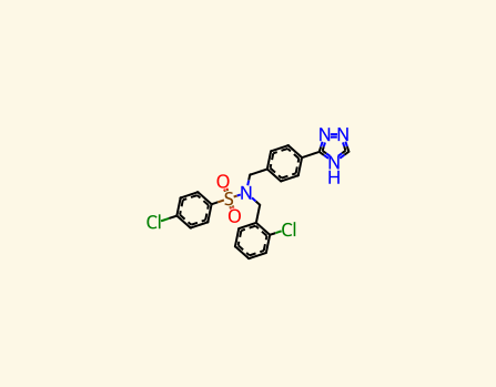 O=S(=O)(c1ccc(Cl)cc1)N(Cc1ccc(-c2nnc[nH]2)cc1)Cc1ccccc1Cl